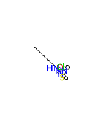 CCCCCCCCCCCCCCCCNC(=O)N1CCN2C3=S(C)C4=C(CC=C4)C3=CN(c3ccccc3Cl)CC12